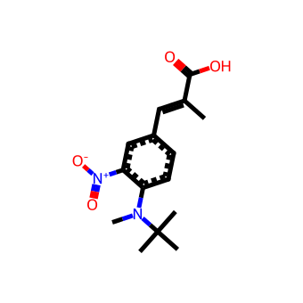 C/C(=C\c1ccc(N(C)C(C)(C)C)c([N+](=O)[O-])c1)C(=O)O